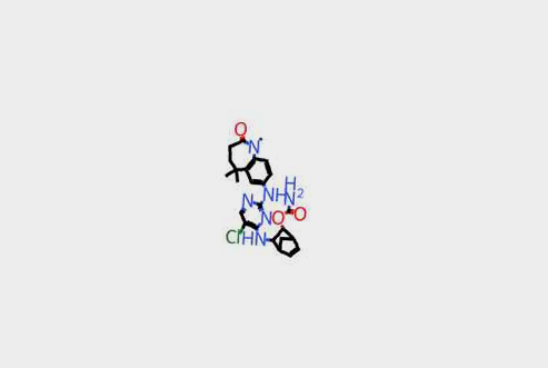 CN1C(=O)CCC(C)(C)c2cc(Nc3ncc(Cl)c(NC4C5C=CC(C5)C4OC(N)=O)n3)ccc21